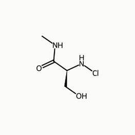 CNC(=O)[C@H](CO)NCl